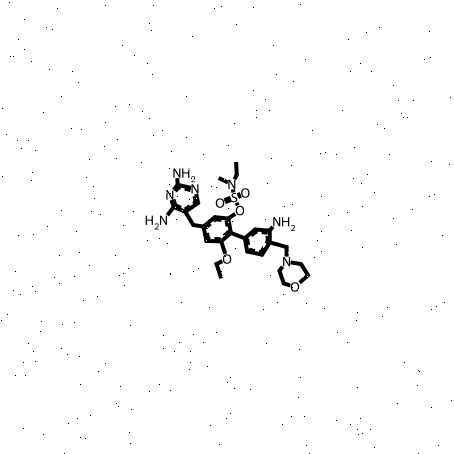 CCOc1cc(Cc2cnc(N)nc2N)cc(OS(=O)(=O)N(C)CC)c1-c1ccc(CN2CCOCC2)c(N)c1